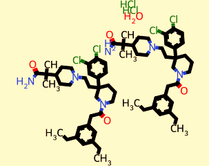 CCc1cc(CC)cc(CC(=O)N2CCCC(CCN3CCC(C(C)(C)C(N)=O)CC3)(c3ccc(Cl)c(Cl)c3)C2)c1.CCc1cc(CC)cc(CC(=O)N2CCCC(CCN3CCC(C(C)(C)C(N)=O)CC3)(c3ccc(Cl)c(Cl)c3)C2)c1.Cl.Cl.O